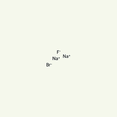 [Br-].[F-].[Na+].[Na+]